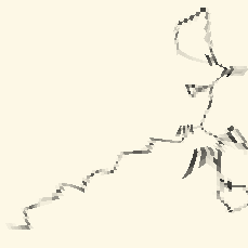 CCCCCCCCCCCCNC(CC(=O)NN1CCCC1)C(=O)NN1CCCC1